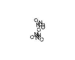 c1ccc(-c2nc(-c3ccccc3)nc(-c3ccc(-c4nc(-c5ccccc5)nc5ccoc45)cc3)n2)cc1